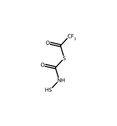 O=C(NS)SC(=O)C(F)(F)F